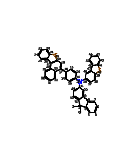 CC1(C)c2ccccc2-c2cc(N(c3ccc(-c4cc5sc6ccccc6c5c5ccccc45)cc3)c3ccc4sc5ccccc5c4c3)ccc21